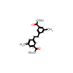 COC(=O)c1cc(C)cc(CCc2cc(C)cc(C(=O)OC)c2)c1